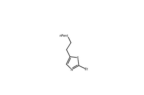 CCCCCCCc1cnc(CC)s1